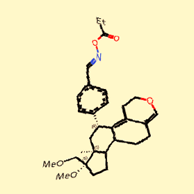 CCC(=O)ON=Cc1ccc([C@H]2C[C@@]3(C)C(CC[C@]3(COC)OC)C3CCC4=COCCC4=C32)cc1